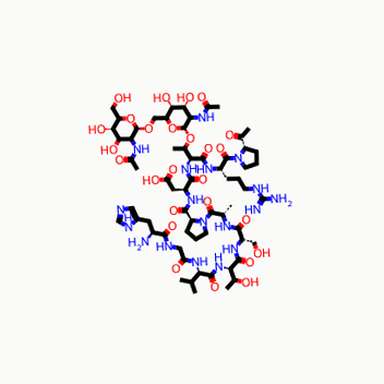 CC(=O)NC1C(O)[C@H](O)C(CO)O[C@H]1OCC1O[C@H](OC(C)[C@H](NC(=O)[C@H](CC(=O)O)NC(=O)[C@@H]2CCCN2C(=O)[C@H](C)NC(=O)[C@H](CO)NC(=O)[C@@H](NC(=O)[C@@H](NC(=O)CNC(=O)[C@@H](N)Cc2cnc[nH]2)C(C)C)C(C)O)C(=O)N[C@@H](CCCNC(=N)N)C(=O)N2CCC[C@H]2C(C)=O)C(NC(C)=O)[C@@H](O)[C@H]1O